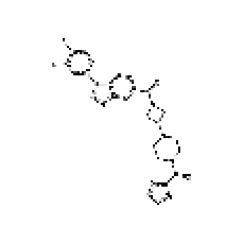 O=C(c1ccc2c(c1)ncn2-c1ccc(F)c(F)c1)N1CC(N2CCN(C(=O)c3nccs3)CC2)C1